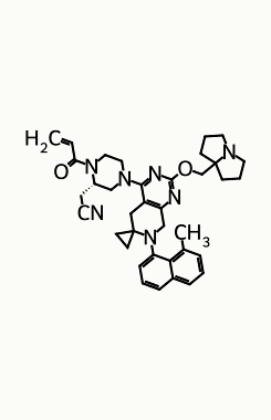 C=CC(=O)N1CCN(c2nc(OCC34CCCN3CCC4)nc3c2CC2(CC2)N(c2cccc4cccc(C)c24)C3)C[C@@H]1CC#N